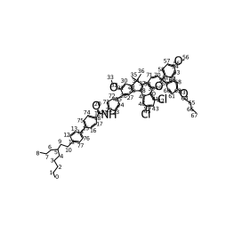 CCCCCC(CCC)CCc1ccc(-c2ccc(C(=O)Nc3ccc(-c4cc5c(cc4OC)C(C)(C)c4c6c(c7c(Cl)cc(Cl)cc7c4-5)OC(c4ccc(OC)cc4)(c4ccc(OCCCC)cc4)C=C6)cc3)cc2)cc1